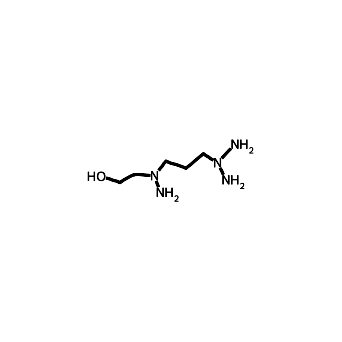 NN(N)CCCN(N)CCO